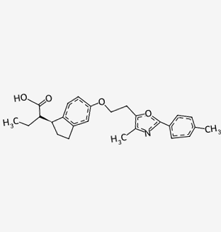 CCC(C(=O)O)[C@@H]1CCc2cc(OCCc3oc(-c4ccc(C)cc4)nc3C)ccc21